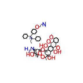 CC/C(=C(\c1ccccc1)c1ccc(OCCN(C)C)cc1)c1ccccc1.COc1cccc2c1C(=O)c1c(O)c3c(c(O)c1C2=O)C[C@@](O)(C(C)=O)C[C@@H]3O[C@H]1C[C@H](N)[C@H](O)[C@H](C)O1